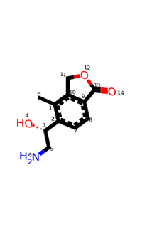 Cc1c([C@@H](O)CN)ccc2c1COC2=O